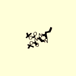 C=CCc1cncc(N(C(=O)OC(C)(C)C)C(=O)OC(C)(C)C)n1